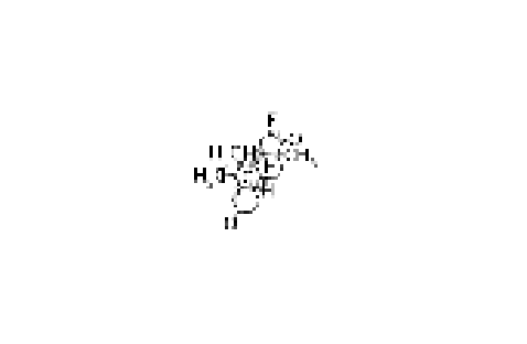 C=C1C2=CC(=O)CC[C@]2(C)[C@H]2CC[C@]3(C)C(=O)[C@@H](F)C[C@H]3[C@@H]2[C@@H]1C